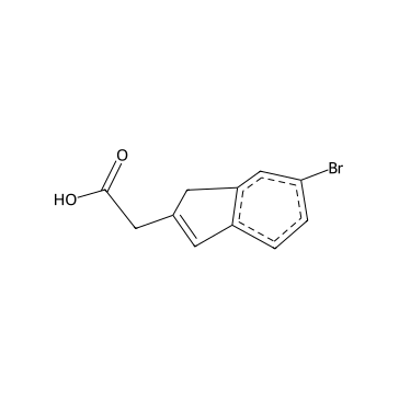 O=C(O)CC1=Cc2ccc(Br)cc2C1